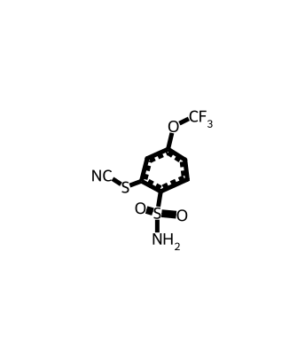 N#CSc1cc(OC(F)(F)F)ccc1S(N)(=O)=O